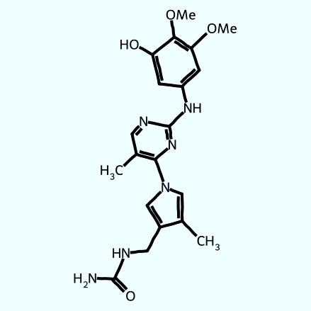 COc1cc(Nc2ncc(C)c(-n3cc(C)c(CNC(N)=O)c3)n2)cc(O)c1OC